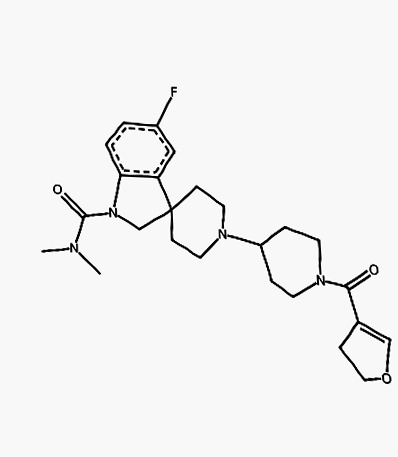 CN(C)C(=O)N1CC2(CCN(C3CCN(C(=O)C4=COCC4)CC3)CC2)c2cc(F)ccc21